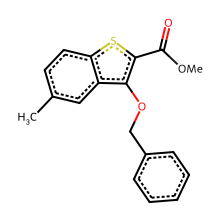 COC(=O)c1sc2ccc(C)cc2c1OCc1ccccc1